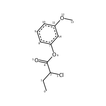 CCC(Cl)C(=O)Oc1cccc(OC)c1